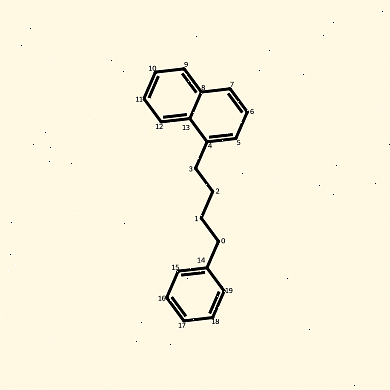 [CH](CCCc1cccc2ccccc12)c1ccccc1